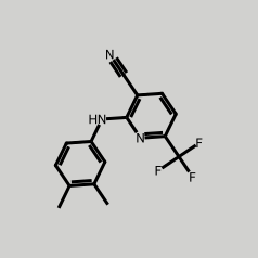 Cc1ccc(Nc2nc(C(F)(F)F)ccc2C#N)cc1C